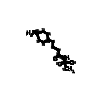 CS(=O)(=O)NC(=O)CCCN1CCC(N)CC1